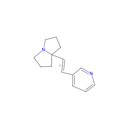 C(=C\C12CCCN1CCC2)/c1cccnc1